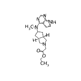 CCOC(=O)CN1C[C@H]2CC(N(C)c3ncnc4[nH]ccc34)C[C@H]2C1